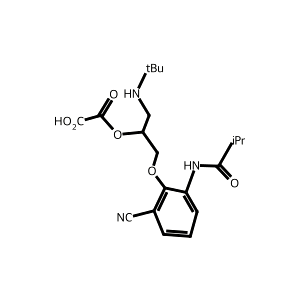 CC(C)C(=O)Nc1cccc(C#N)c1OCC(CNC(C)(C)C)OC(=O)C(=O)O